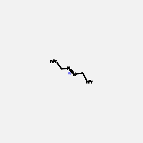 CCCC/N=N/CCCC